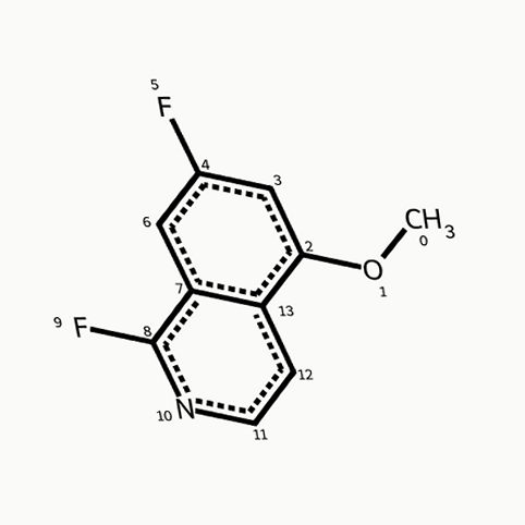 COc1cc(F)cc2c(F)nccc12